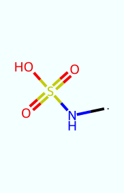 [CH2]NS(=O)(=O)O